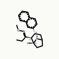 CCC(=NOC)[C@@H]1[C@H]2CCC(C[C@H]1c1ccc3ccccc3c1)N2